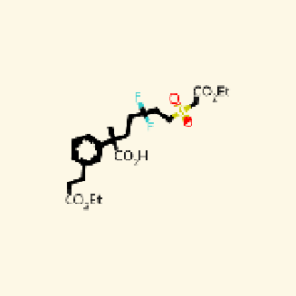 CCOC(=O)CCc1cccc(C(C)(CCC(F)(F)CCS(=O)(=O)CC(=O)OCC)C(=O)O)c1